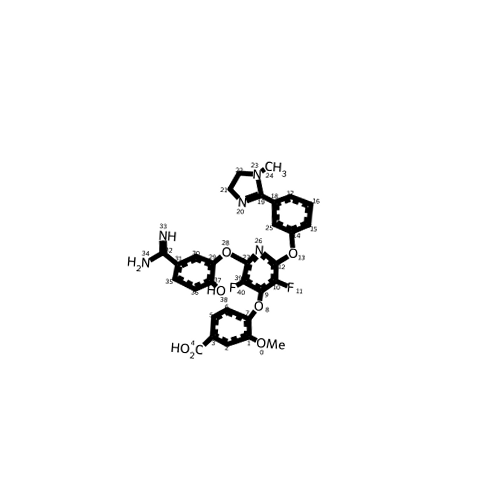 COc1cc(C(=O)O)ccc1Oc1c(F)c(Oc2cccc(C3=NCCN3C)c2)nc(Oc2cc(C(=N)N)ccc2O)c1F